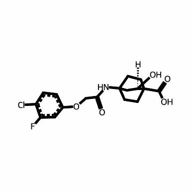 O=C(COc1ccc(Cl)c(F)c1)NC12CCC(C(=O)O)(CC1)[C@H](O)C2